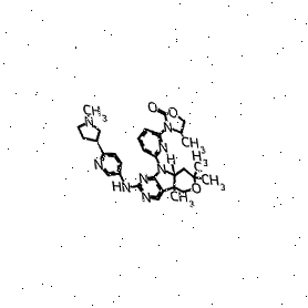 C[C@H]1COC(=O)N1c1cccc(N2c3nc(Nc4ccc([C@H]5CCN(C)C5)nc4)ncc3[C@@]3(C)COC(C)(C)C[C@@H]23)n1